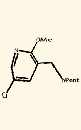 CCCCCCc1cc(Cl)cnc1OC